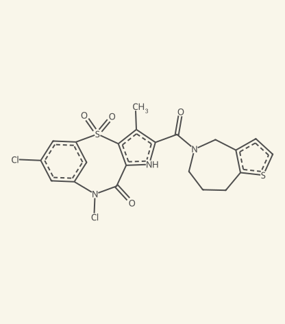 Cc1c(C(=O)N2CCCc3sccc3C2)[nH]c2c1S(=O)(=O)c1cc(Cl)cc(c1)N(Cl)C2=O